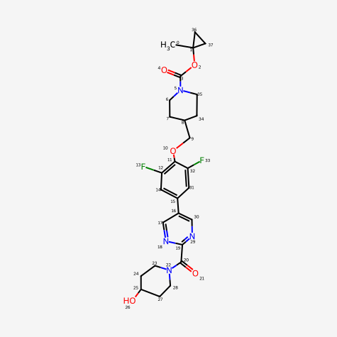 CC1(OC(=O)N2CCC(COc3c(F)cc(-c4cnc(C(=O)N5CCC(O)CC5)nc4)cc3F)CC2)CC1